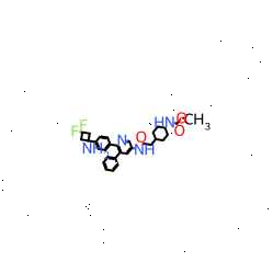 COC(=O)NC1CCC(CC(=O)Nc2cnc(-c3ccc(C4(N)CC(F)(F)C4)cc3)c(-c3ccccc3)c2)CC1